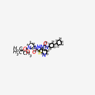 CC(C)(C)OC(=O)N1CCCC(NC(=O)c2sc3nccc4c3c2NC(=O)N4c2ccc(-c3ccccc3)cc2)C1